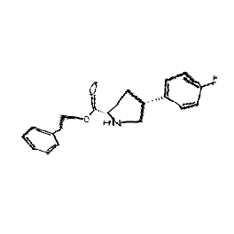 O=C(OCc1ccccc1)[C@@H]1C[C@H](c2ccc(F)cc2)CN1